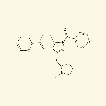 CN1CCCC1Cc1cn(C(=O)c2ccccc2)c2ccc(C3CCC=CO3)cc12